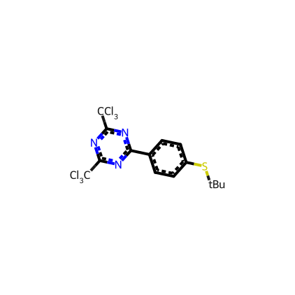 CC(C)(C)Sc1ccc(-c2nc(C(Cl)(Cl)Cl)nc(C(Cl)(Cl)Cl)n2)cc1